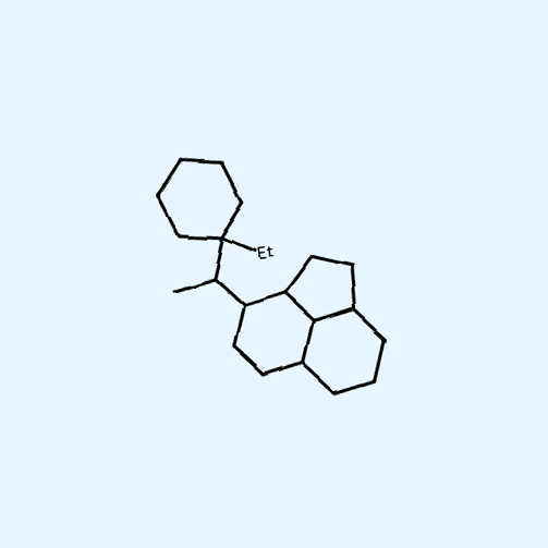 CCC1(C(C)C2CCC3CCCC4CCC2C43)CCCCC1